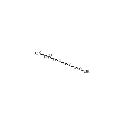 CCOCCOCCOCCOCCOCCOCCOCCC(=O)NCCCC[C@H](C)C(C)=O